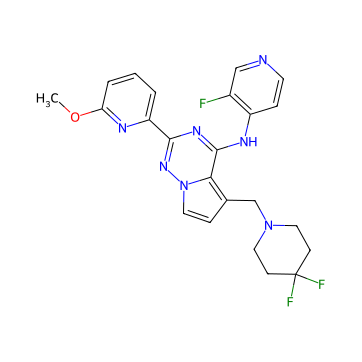 COc1cccc(-c2nc(Nc3ccncc3F)c3c(CN4CCC(F)(F)CC4)ccn3n2)n1